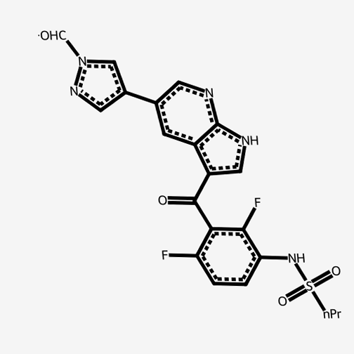 CCCS(=O)(=O)Nc1ccc(F)c(C(=O)c2c[nH]c3ncc(-c4cnn([C]=O)c4)cc23)c1F